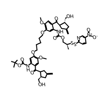 C=C1CC(C(=O)c2cc(OC)c(OCCCCCOc3cc(NC(=O)OC(C)(C)C)c(C(=O)C4CC(=C)C[C@H]4CO)cc3OC)cc2NC(=O)OC[C@H](C)SSc2ccc([N+](=O)[O-])cn2)[C@H](CO)C1